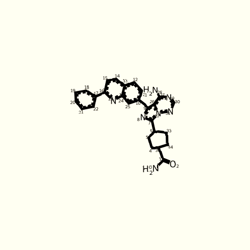 NC(=O)C1CCC(c2nc(-c3ccc4ccc(-c5ccccc5)nc4c3)c3c(N)ncnn23)CC1